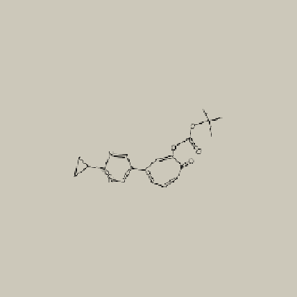 CC(C)(C)OC(=O)Oc1cc(-c2cnc(C3CC3)nc2)cccc1=O